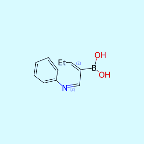 CC/C=C(\C=N/c1ccccc1)B(O)O